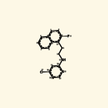 Fc1ccc2ccccc2c1CCNc1cc(Cl)ncn1